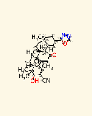 CC1(C)C(O)C(C#N)=C[C@]2(C)C3=CC(=O)[C@@H]4[C@@H]5CC(c6nnco6)CC[C@]5(C)CC[C@@]4(C)[C@]3(C)CC[C@@H]12